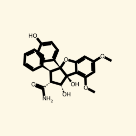 COc1cc(OC)c2c(c1)O[C@@]1(c3ccc(O)cc3)[C@H](c3ccccc3)[C@@H](C(N)=O)[C@@H](O)[C@@]21O